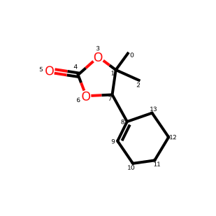 CC1(C)OC(=O)OC1C1=CCCCC1